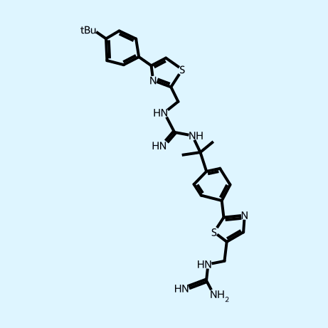 CC(C)(C)c1ccc(-c2csc(CNC(=N)NC(C)(C)c3ccc(-c4ncc(CNC(=N)N)s4)cc3)n2)cc1